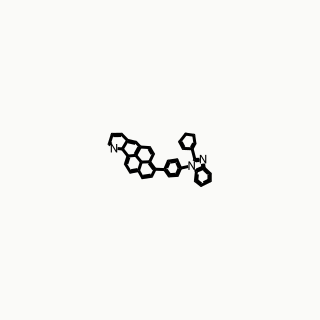 C1=CC2=CC3=C4C(=CC=C5C=CC(c6ccc(-n7c(C8=CCCC=C8)nc8ccccc87)cc6)=C(C=C3)C54)C2N=C1